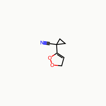 N#CC1(C2=CCOO2)CC1